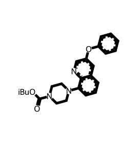 CC(C)COC(=O)N1CCN(c2cccc3cc(Oc4ccccc4)cnc23)CC1